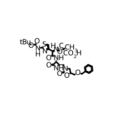 CC(C)(C)OC(=O)Nc1nc(C(=NOC(C)(C)C(=O)O)C(=O)N[C@@H]2C(=O)N[C@@H]2CN2CC(COCc3ccccc3)OC2=O)cs1